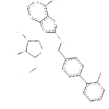 Cc1ccccc1-c1ccc(CNc2nc3c(N)ncnc3n2[C@@H]2O[C@H](CO)[C@@H](O)[C@H]2O)cc1